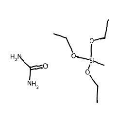 CCO[Si](C)(OCC)OCC.NC(N)=O